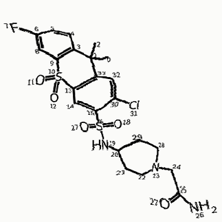 CC1(C)c2ccc(F)cc2S(=O)(=O)c2cc(S(=O)(=O)NC3CCN(CC(N)=O)CC3)c(Cl)cc21